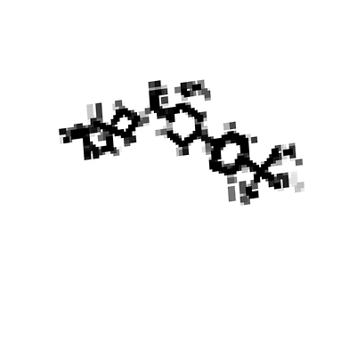 C[C@@H]1C[C@@H](c2ccc(C(C)(C)C)cc2)CCN1C(=O)[C@H]1C[C@]2(COC(=O)N2)C1